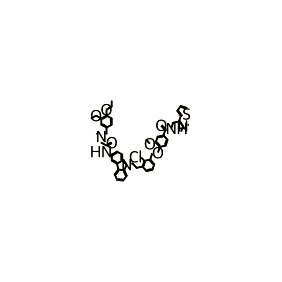 CCOc1ccc(CN(C)CC(=O)Nc2ccc3c(c2)c2ccccc2n3CCc2cccc(COc3ccc(C(=O)NCC(c4cccs4)N(C)C)cc3OC)c2Cl)cc1OC